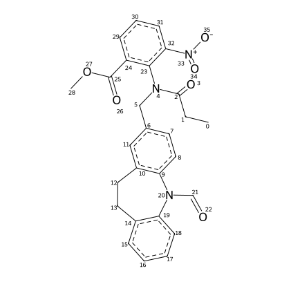 CCC(=O)N(Cc1ccc2c(c1)CCc1ccccc1N2C=O)c1c(C(=O)OC)cccc1[N+](=O)[O-]